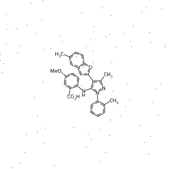 COc1ccc(Nc2c(-c3cc4cc(C)ccc4o3)c(C)nn2-c2ccccc2C)c(C(=O)O)c1